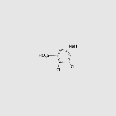 O=S(=O)(O)c1cccc(Cl)c1Cl.[NaH]